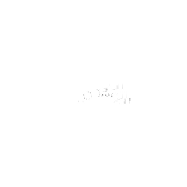 CC(C)(C)OC(=O)N[C@@H](C[C@H](Cc1ccc(OC(CO)CF)cc1)C(=O)O)C(=O)O